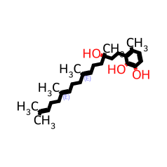 CC(C)=CCC/C(C)=C/CC/C(C)=C/CCC(C)(O)CCc1c(C)ccc(O)c1O